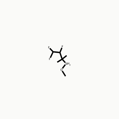 CO[SiH2]C(C)(C)C(F)C(F)F